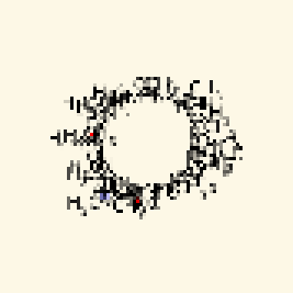 C/C=C/C[C@@H](C)[C@@H](O)[C@H]1C(=O)N[C@@H](CC)C(=O)N(C)[C@H](C)C(=O)N(C)[C@@H]([C@H](C)CN2CCCOCC2)C(=O)N[C@@H](C(C)C)C(=O)N(C)[C@@H](CC(C)C)C(=O)N[C@@H](C)C(=O)N[C@H](C)C(=O)N(C)[C@@H](CC(C)C)C(=O)N(C)[C@@H](CC(C)C)C(=O)N(C)[C@@H](C(C)C)C(=O)N1C